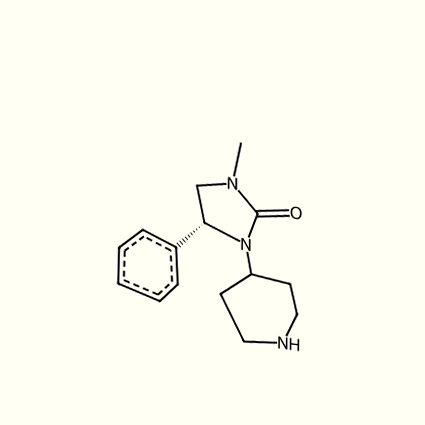 CN1C[C@@H](c2ccccc2)N(C2CCNCC2)C1=O